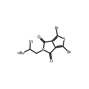 CCCCC(CC)CN1C(=O)c2c(Br)sc(Br)c2C1=O